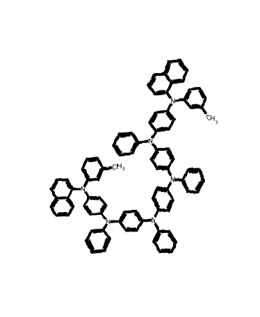 Cc1cccc(N(c2ccc(N(c3ccccc3)c3ccc(N(c4ccccc4)c4ccc(N(c5ccccc5)c5ccc(N(c6ccccc6)c6ccc(N(c7cccc(C)c7)c7cccc8ccccc78)cc6)cc5)cc4)cc3)cc2)c2cccc3ccccc23)c1